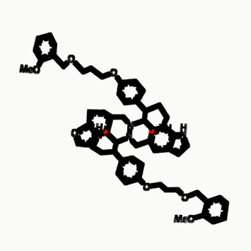 COc1ccccc1COCCCOc1ccc(C2CCNCC2N(Cc2ccc3[nH]ccc3c2)N(Cc2ccc3occc3c2)C2CNCCC2c2ccc(OCCCOCc3ccccc3OC)cc2)cc1